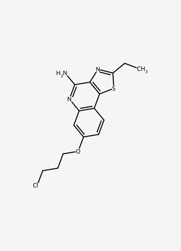 CCc1nc2c(N)nc3cc(OCCCCl)ccc3c2s1